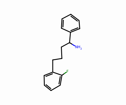 N[C](CCCc1ccccc1F)c1ccccc1